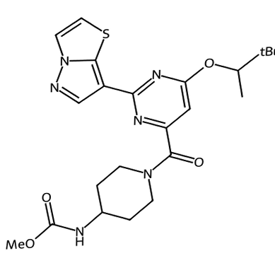 COC(=O)NC1CCN(C(=O)c2cc(OC(C)C(C)(C)C)nc(-c3cnn4ccsc34)n2)CC1